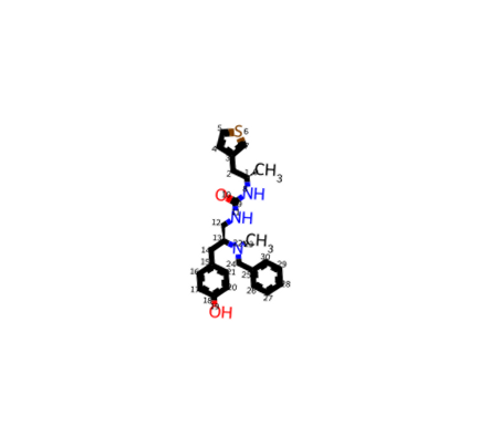 C[C@@H](Cc1ccsc1)NC(=O)NC[C@H](Cc1ccc(O)cc1)N(C)Cc1ccccc1